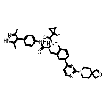 Cc1n[nH]c(C)c1-c1ccc(NC(=O)[C@H](Cc2cc(-c3ccnc(N4CCC5(CC4)COC5)n3)ccc2Cl)NC(=O)C2(F)CC2)cc1